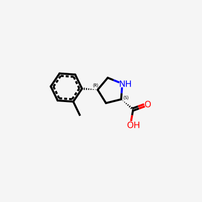 Cc1ccccc1[C@@H]1CN[C@H](C(=O)O)C1